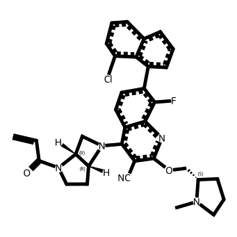 C=CC(=O)N1CC[C@@H]2[C@H]1CN2c1c(C#N)c(OC[C@@H]2CCCN2C)nc2c(F)c(-c3cccc4cccc(Cl)c34)ccc12